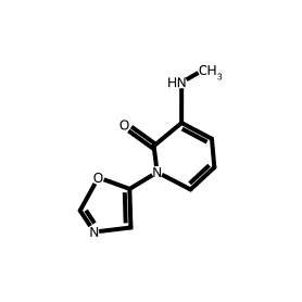 CNc1cccn(-c2cnco2)c1=O